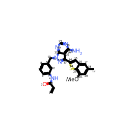 C=CC(=O)Nc1cccc(Cn2nc(-c3cc4cc(C)cc(OC)c4s3)c3c(N)ncnc32)c1